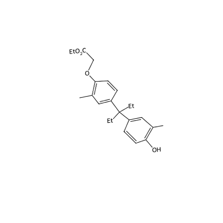 CCOC(=O)COc1ccc(C(CC)(CC)c2ccc(O)c(C)c2)cc1C